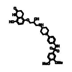 COc1ccc(S(=O)(=O)Nc2ccc(N3CCC(NC[C@H](O)COc4ccc(O)c5c4CCC(=O)N5)CC3)cc2)cc1OC